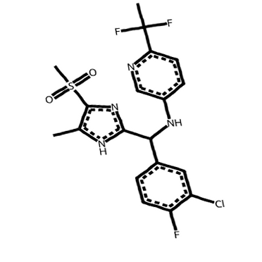 Cc1[nH]c(C(Nc2ccc(C(C)(F)F)nc2)c2ccc(F)c(Cl)c2)nc1S(C)(=O)=O